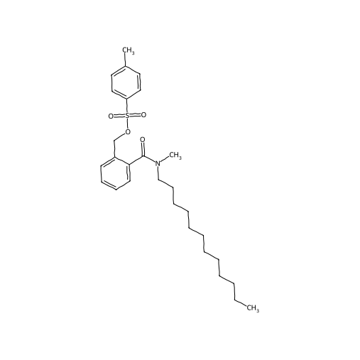 CCCCCCCCCCCCN(C)C(=O)c1ccccc1COS(=O)(=O)c1ccc(C)cc1